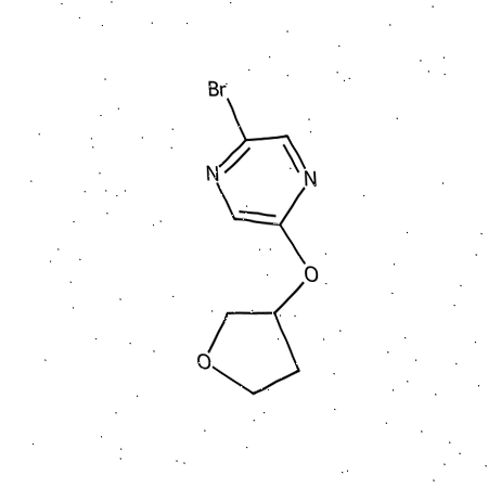 Brc1cnc(OC2CCOC2)cn1